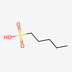 C[CH]CCCS(=O)(=O)O